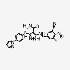 Cc1cc(CNc2[nH]nc(Nc3ccc(-n4cccn4)cc3)c2C(N)=O)cc(C#N)c1N=O